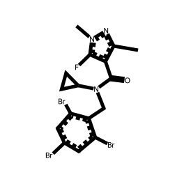 Cc1nn(C)c(F)c1C(=O)N(Cc1c(Br)cc(Br)cc1Br)C1CC1